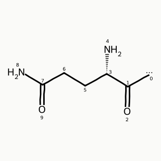 [C]C(=O)[C@@H](N)CCC(N)=O